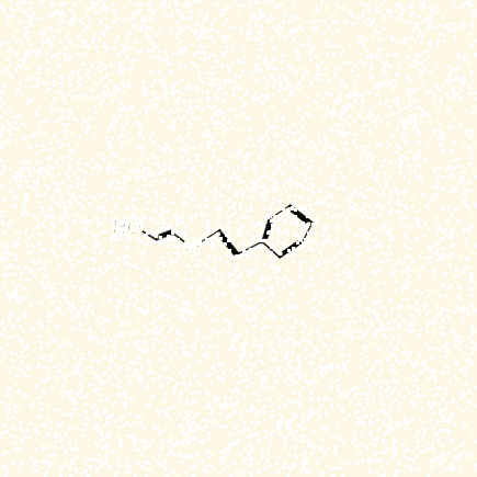 OC=COC=Cc1ccccc1